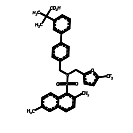 Cc1ccc2c(S(=O)(=O)N(Cc3ccc(-c4cccc(C(C)(C)C(=O)O)c4)cc3)Cc3ccc(C(F)(F)F)o3)c(C)ccc2c1